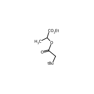 CCOC(=O)C(C)OC(=O)CC(C)(C)C